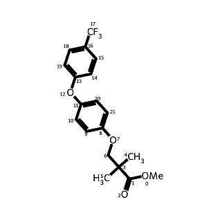 COC(=O)C(C)(C)COc1ccc(Oc2ccc(C(F)(F)F)cc2)cc1